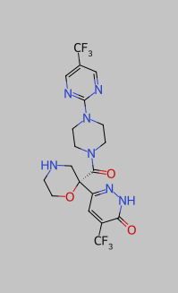 O=C(N1CCN(c2ncc(C(F)(F)F)cn2)CC1)[C@@]1(c2cc(C(F)(F)F)c(=O)[nH]n2)CNCCO1